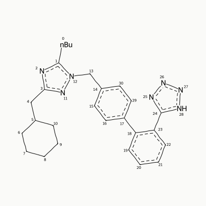 CCCCc1nc(CC2CCCCC2)nn1Cc1ccc(-c2ccccc2-c2nnn[nH]2)cc1